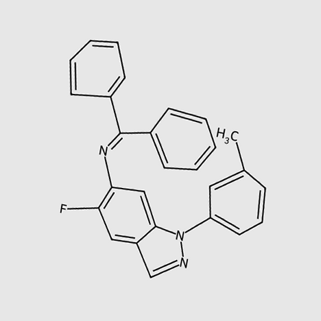 Cc1cccc(-n2ncc3cc(F)c(N=C(c4ccccc4)c4ccccc4)cc32)c1